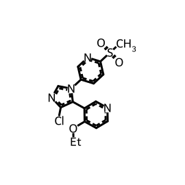 CCOc1ccncc1-c1c(Cl)ncn1-c1ccc(S(C)(=O)=O)nc1